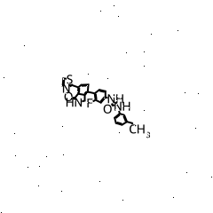 CCc1cccc(NC(=O)Nc2ccc(-c3ccc(-c4nccs4)c4c3CNC4=O)c(F)c2)c1